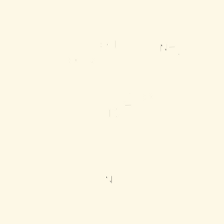 NCCC(C(CCCc1ccncc1)C(=O)O)[PH](=O)O